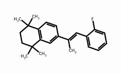 C/C(=C\c1ccccc1F)c1ccc2c(c1)C(C)(C)CCC2(C)C